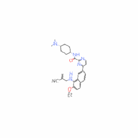 C=C(C#N)CNc1c(OCC)ccc2ccc(-c3ccnc(C(=O)N[C@H]4CC[C@@H](N(C)C)CC4)n3)cc12